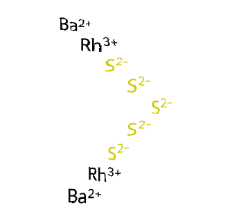 [Ba+2].[Ba+2].[Rh+3].[Rh+3].[S-2].[S-2].[S-2].[S-2].[S-2]